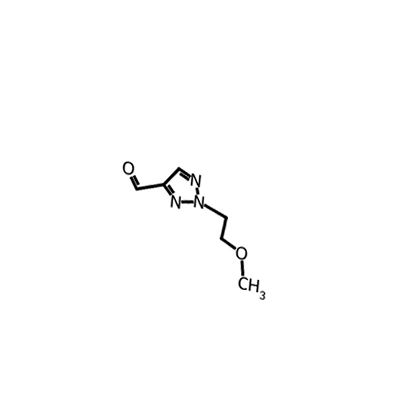 COCCn1ncc(C=O)n1